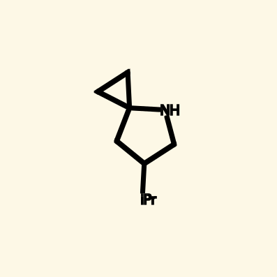 CC(C)C1CNC2(CC2)C1